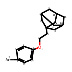 CC(=O)c1ccc(OCCC23CC4CC(CC(C4)C2)C3)cc1